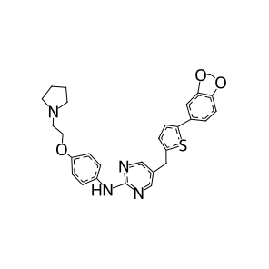 c1nc(Nc2ccc(OCCN3CCCC3)cc2)ncc1Cc1ccc(-c2ccc3c(c2)OCO3)s1